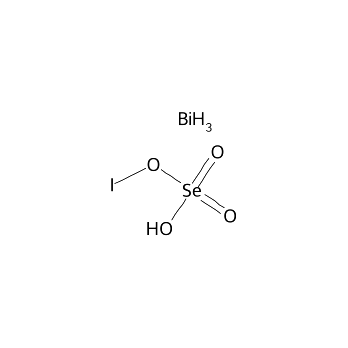 O=[Se](=O)(O)OI.[BiH3]